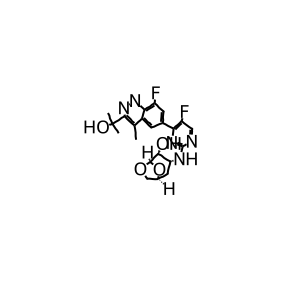 Cc1c(C(C)(C)O)nnc2c(F)cc(-c3nc(N[C@@H]4C[C@H]5CO[C@H](O5)[C@H]4O)ncc3F)cc12